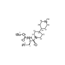 CC(C)C[C@@H](NC(=O)OC(C)(C)C)C(=O)N1CCC(C2CCN(C)CC2)CC1